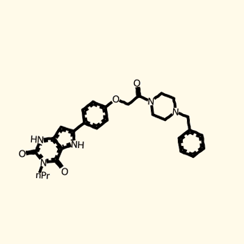 CCCn1c(=O)[nH]c2cc(-c3ccc(OCC(=O)N4CCN(Cc5ccccc5)CC4)cc3)[nH]c2c1=O